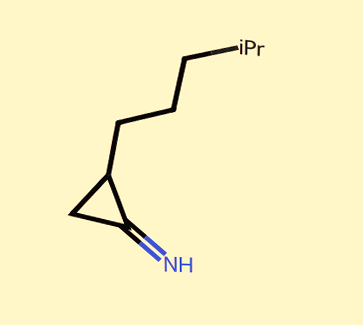 CC(C)CCCC1CC1=N